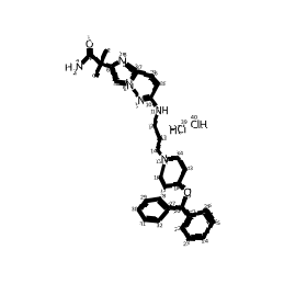 CC(C)(C(N)=O)c1cn2nc(NCCCN3CCC(OC(c4ccccc4)c4ccccc4)CC3)ccc2n1.Cl.Cl